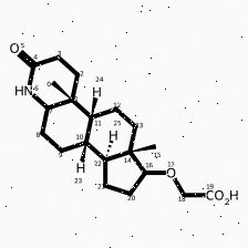 C[C@]12CCC(=O)NC1CC[C@@H]1[C@H]2CC[C@]2(C)C(OCC(=O)O)CC[C@@H]12